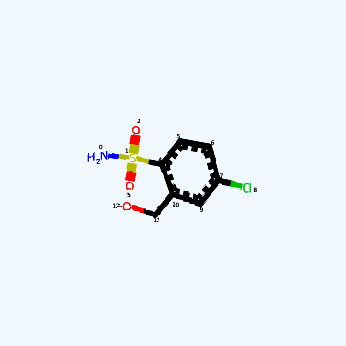 NS(=O)(=O)c1ccc(Cl)cc1C[O]